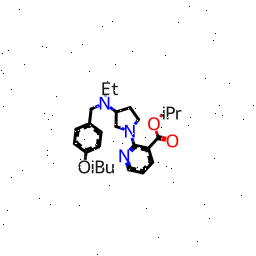 CCN(Cc1ccc(OCC(C)C)cc1)C1CCN(c2ncccc2C(=O)OC(C)C)C1